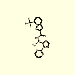 C[C@@H](NC(=O)c1cc2cccc(C(F)(F)F)n2n1)c1ncnn1-c1ncccn1